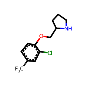 FC(F)(F)c1ccc(OCC2CCCN2)c(Cl)c1